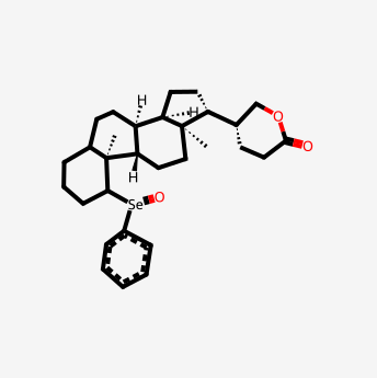 C[C@@]12C(CCCC1[Se](=O)c1ccccc1)CC[C@H]1[C@H]3CC[C@H]([C@H]4CCC(=O)OC4)[C@@]3(C)CC[C@@H]12